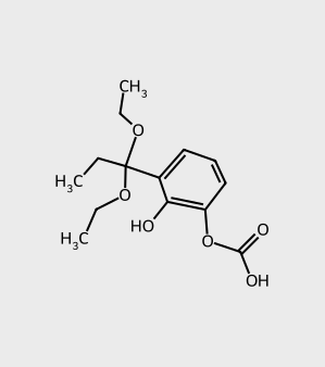 CCOC(CC)(OCC)c1cccc(OC(=O)O)c1O